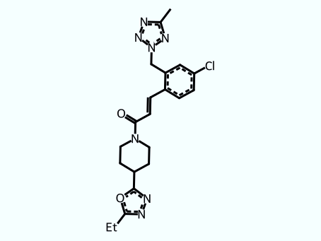 CCc1nnc(C2CCN(C(=O)/C=C/c3ccc(Cl)cc3Cn3nnc(C)n3)CC2)o1